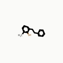 Cc1cccc(CCc2ccccc2)c1S